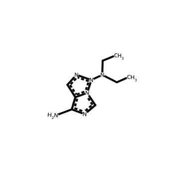 CCN(CC)n1ncc2c(N)ncn21